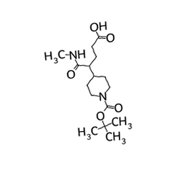 CNC(=O)C(CCC(=O)O)C1CCN(C(=O)OC(C)(C)C)CC1